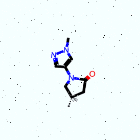 C[C@H]1CC(=O)N(c2cnn(C)c2)C1